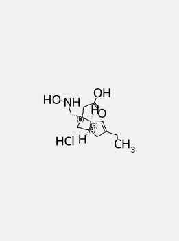 CCC1=C[C@H]2[C@@H](C1)C[C@@]2(CNO)CC(=O)O.Cl